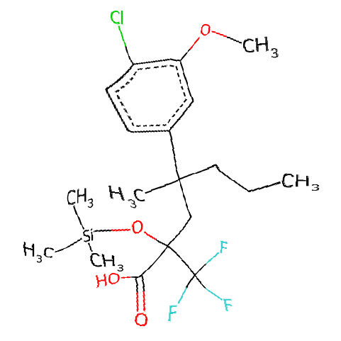 CCCC(C)(CC(O[Si](C)(C)C)(C(=O)O)C(F)(F)F)c1ccc(Cl)c(OC)c1